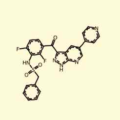 O=C(c1ccc(F)c(NS(=O)(=O)Cc2ccccc2)c1F)c1n[nH]c2ncc(-c3ccncc3)cc12